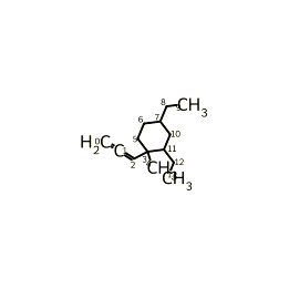 C=C=CC1(C)CCC(CC)CC1CC